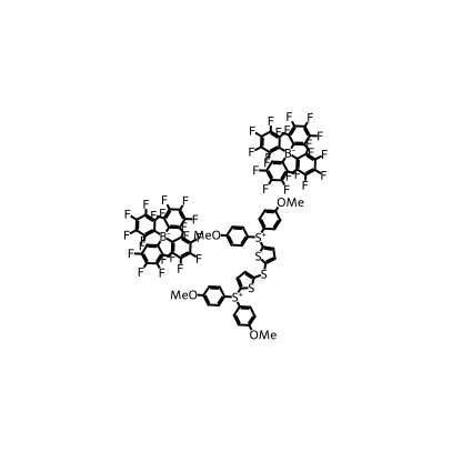 COc1ccc([S+](c2ccc(OC)cc2)c2ccc(Sc3ccc([S+](c4ccc(OC)cc4)c4ccc(OC)cc4)s3)s2)cc1.Fc1c(F)c(F)c([B-](c2c(F)c(F)c(F)c(F)c2F)(c2c(F)c(F)c(F)c(F)c2F)c2c(F)c(F)c(F)c(F)c2F)c(F)c1F.Fc1c(F)c(F)c([B-](c2c(F)c(F)c(F)c(F)c2F)(c2c(F)c(F)c(F)c(F)c2F)c2c(F)c(F)c(F)c(F)c2F)c(F)c1F